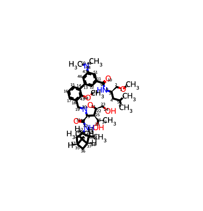 COC[C@@H](CC(C)C)NC(=O)c1cc(-c2cccc(CN3O[C@@H](CO)[C@@H]([C@H](C)O)[C@H]3C(=O)N[C@H]3C[C@H]4C[C@@H]([C@@H]3C)C4(C)C)c2OC)cc(N(C)C)c1